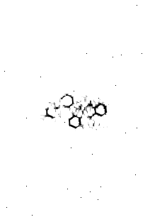 COc1cccc(OC)c1N(C(=O)c1ccccc1)N(C(=N)N)S(=O)(=O)[C@@H]1CCCN(c2ncc(F)cn2)C1